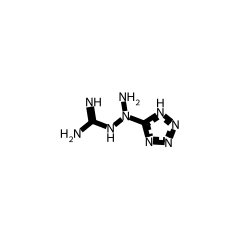 N=C(N)NN(N)c1nnn[nH]1